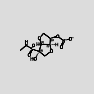 CNS(=O)(=O)[C@]1(O)CO[C@@H]2[C@H](O[N+](=O)[O-])CO[C@@H]21